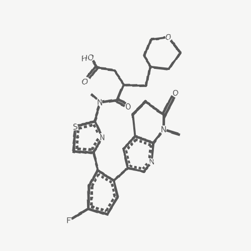 CN(C(=O)C(CC(=O)O)CC1CCOCC1)c1nc(-c2cc(F)ccc2-c2cnc3c(c2)CCC(=O)N3C)cs1